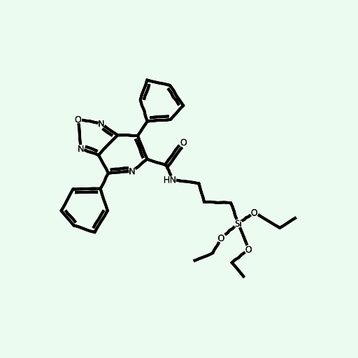 CCO[Si](CCCNC(=O)c1nc(-c2ccccc2)c2nonc2c1-c1ccccc1)(OCC)OCC